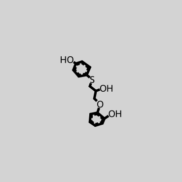 Oc1ccc(SCC(O)COc2ccccc2O)cc1